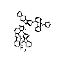 CC1(C)c2ccccc2-c2ccc(-c3nc(-n4c5ccc(-c6cccc7c6c6ccccc6n7-c6ccccc6)cc5c5cc6ccccc6cc54)nc4ccc5cc(-c6ccccc6)sc5c34)cc21